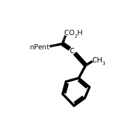 CCCCCC(=C=C(C)c1ccccc1)C(=O)O